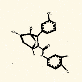 O=C(Nc1ccc(Cl)c(Cl)c1)[C@@H]1C(c2ccnc(C(F)(F)F)c2)[C@@H]2O[C@H]1C[C@H]2O